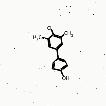 Cc1cc(-c2ccc(O)cc2)cc(C)c1Cl